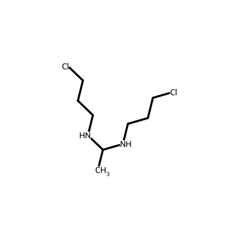 CC(NCCCCl)NCCCCl